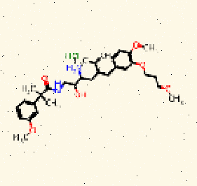 COCCCOc1cc(CC(CC(N)C(O)CNC(=O)C(C)(C)c2cccc(OC)c2)C(C)C)ccc1OC.Cl